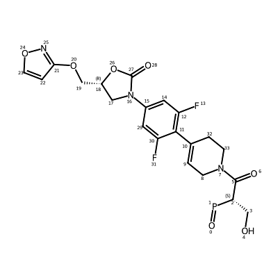 O=P[C@@H](CO)C(=O)N1CC=C(c2c(F)cc(N3C[C@H](COc4ccon4)OC3=O)cc2F)CC1